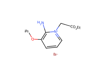 CCOC(=O)C[n+]1cccc(OC(C)C)c1N.[Br-]